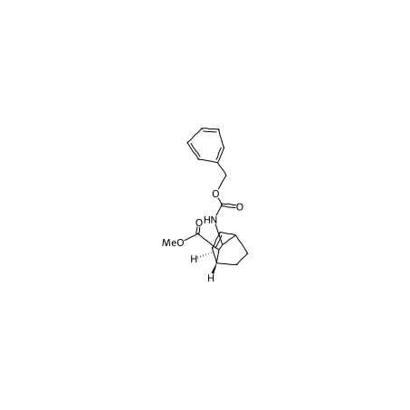 COC(=O)[C@H]1C(NC(=O)OCc2ccccc2)C2C=C[C@H]1CC2